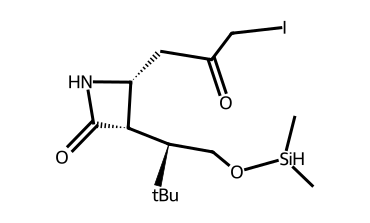 C[SiH](C)OC[C@H]([C@@H]1C(=O)N[C@@H]1CC(=O)CI)C(C)(C)C